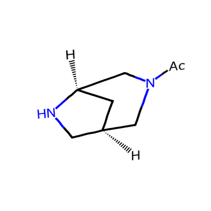 CC(=O)N1C[C@H]2CN[C@H](C2)C1